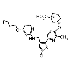 Cc1nc(-c2sc(Cl)cc2CNc2nccc(OCCCF)n2)ccc1O[C@H]1CCC[C@H](C(=O)O)C1